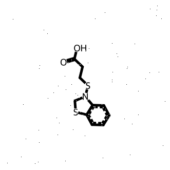 O=C(O)CCSN1CSc2ccccc21